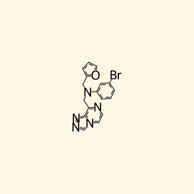 Brc1cccc(N(Cc2ccco2)Cc2nccn3cnnc23)c1